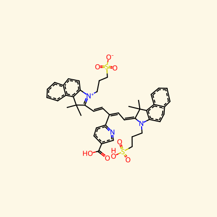 CC1(C)C(/C=C/C(=C/C=C2/N(CCCS(=O)(=O)O)c3ccc4ccccc4c3C2(C)C)c2ccc(C(=O)O)cn2)=[N+](CCCS(=O)(=O)[O-])c2ccc3ccccc3c21